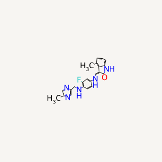 Cc1cnc(CNc2ccc(NC=C3C(=O)Nc4cccc(C)c43)cc2F)cn1